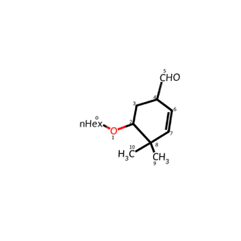 CCCCCCOC1CC(C=O)C=CC1(C)C